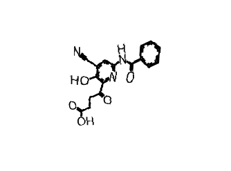 N#Cc1cc(NC(=O)c2ccccc2)nc(C(=O)CCC(=O)O)c1O